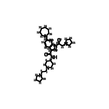 O=C(NC1CCN(CCN2CCCC2)CC1)c1nn(C(=O)CN2CCCC2)c2nc(N3CCCCCC3)ccc12